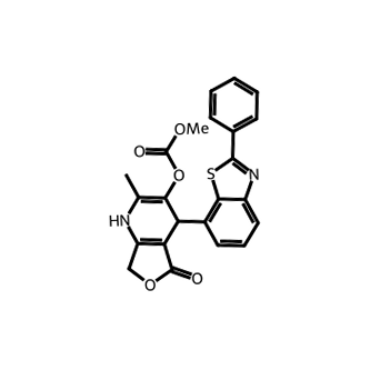 COC(=O)OC1=C(C)NC2=C(C(=O)OC2)C1c1cccc2nc(-c3ccccc3)sc12